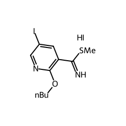 CCCCOc1ncc(I)cc1C(=N)SC.I